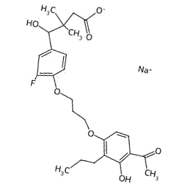 CCCc1c(OCCCOc2ccc(C(O)C(C)(C)CC(=O)[O-])cc2F)ccc(C(C)=O)c1O.[Na+]